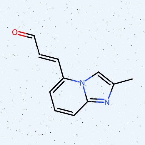 Cc1cn2c(/C=C/C=O)cccc2n1